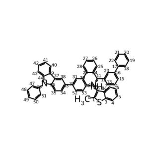 Cc1sc2ccccc2c1N=C(c1cccc(-c2ccccc2)c1)c1ccccc1-c1cc(-c2ccc3c(c2)c2ccccc2n3-c2ccccc2)ccc1N